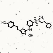 CN(CCN1CCCC1)S(=O)(=O)c1cccc(Nc2ncc(C=Cc3ccc(O)cc3)s2)c1.Cl